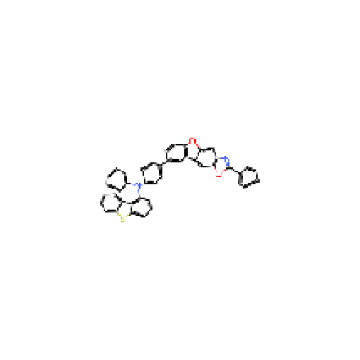 c1ccc(-c2nc3cc4oc5ccc(-c6ccc(N(c7ccccc7)c7cccc8sc9ccccc9c78)cc6)cc5c4cc3o2)cc1